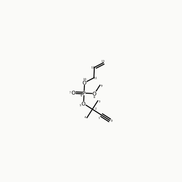 C#CC(C)(C)OP(=O)(OC)OCC=C